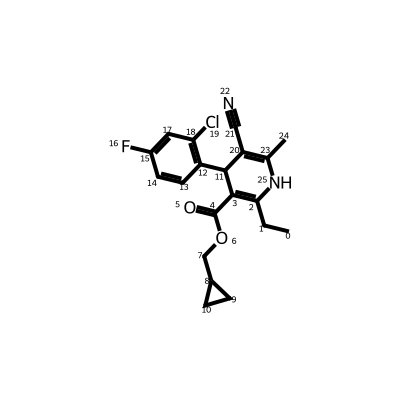 CCC1=C(C(=O)OCC2CC2)C(c2ccc(F)cc2Cl)C(C#N)=C(C)N1